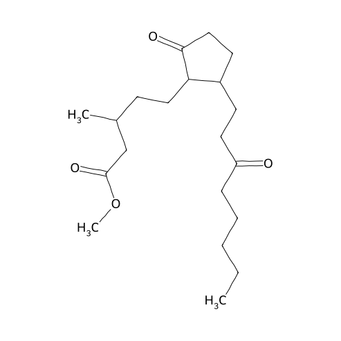 CCCCCC(=O)CCC1CCC(=O)C1CCC(C)CC(=O)OC